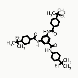 CCC(C)(C)C1CCC(NC(=O)c2cc(NC(=O)C3CCC(C(C)(C)CC)CC3)cc(NC(=O)C3CCC(C(C)(C)CC)CC3)c2)CC1